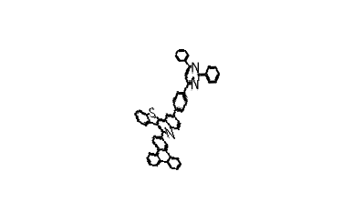 c1ccc(-c2cc(-c3ccc(-c4ccc5nc(-c6ccc7c8ccccc8c8ccccc8c7c6)c6c7ccccc7sc6c5c4)cc3)nc(-c3ccccc3)n2)cc1